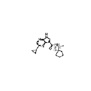 C[C@H](NC(=O)c1c[nH]c2ncc(C3CC3)nc12)C1(O)CCCC1